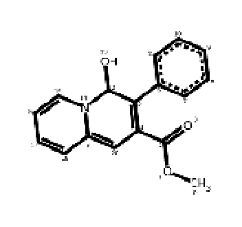 COC(=O)C1=C(c2ccccc2)C(O)N2C=CC=CC2=C1